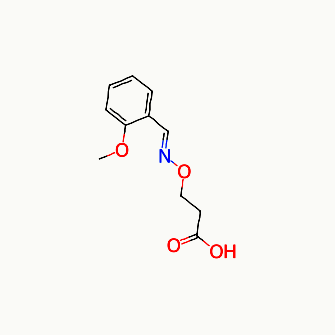 COc1ccccc1C=NOCCC(=O)O